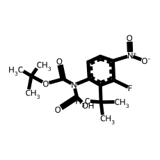 CC(C)(C)OC(=O)N(C(=O)O)c1ccc([N+](=O)[O-])c(F)c1C(C)(C)C